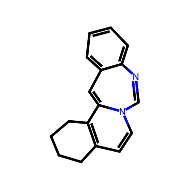 C1=CN2C=Nc3ccccc3C=C2C2=C1CCCC2